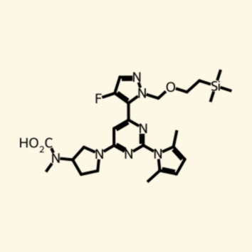 Cc1ccc(C)n1-c1nc(-c2c(F)cnn2COCC[Si](C)(C)C)cc(N2CCC(N(C)C(=O)O)C2)n1